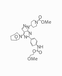 COCCOC(=O)Nc1ccc(-c2nc(N3CC4CCC(C3)O4)c3cnn(C4CCN(C(=O)OC)CC4)c3n2)cc1